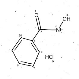 Cl.O=C(NO)c1ccccc1